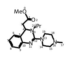 COC(=O)CC1c2ccccc2N=C(N2CCN(C)CC2)N1C(C)C